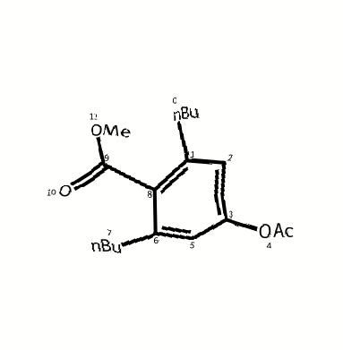 CCCCc1cc(OC(C)=O)cc(CCCC)c1C(=O)OC